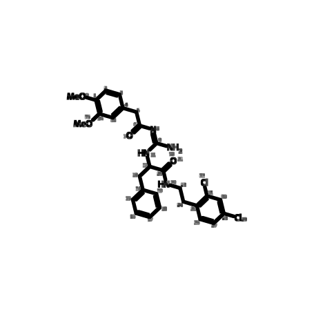 COc1ccc(CC(=O)N=C(N)NC(Cc2ccccc2)C(=O)NCCc2ccc(Cl)cc2Cl)cc1OC